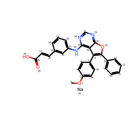 COc1ccc(-c2c(-c3ccccc3)oc3ncnc(Nc4cccc(C=CC(=O)O)c4)c23)cc1.[Na]